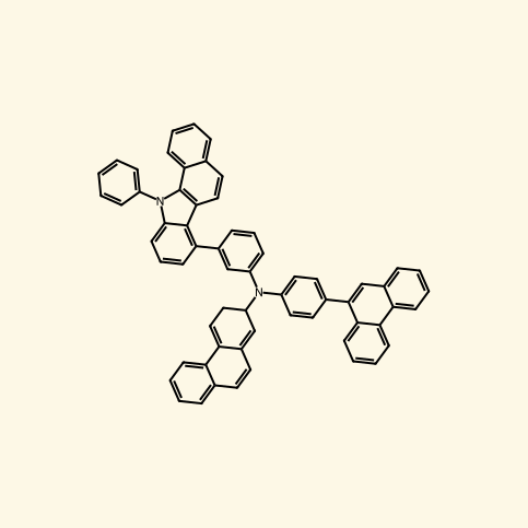 C1=c2ccc3ccccc3c2=CCC1N(c1ccc(-c2cc3ccccc3c3ccccc23)cc1)c1cccc(-c2cccc3c2c2ccc4ccccc4c2n3-c2ccccc2)c1